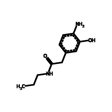 CCCNC(=O)Cc1ccc(N)c(O)c1